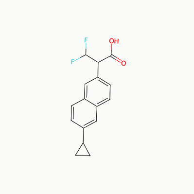 O=C(O)C(c1ccc2cc(C3CC3)ccc2c1)C(F)F